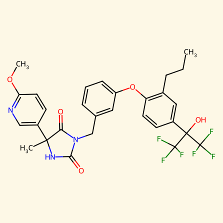 CCCc1cc(C(O)(C(F)(F)F)C(F)(F)F)ccc1Oc1cccc(CN2C(=O)NC(C)(c3ccc(OC)nc3)C2=O)c1